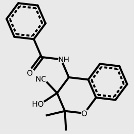 CC1(C)Oc2ccccc2C(NC(=O)c2ccccc2)C1(O)C#N